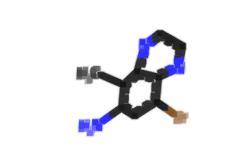 Cc1c(N)cc(Br)c2nccnc12